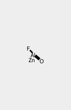 [O]=[Al][F].[Zn]